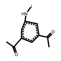 CC(=O)c1cc(NI)cc(C(C)=O)c1